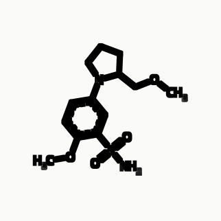 COCC1CCCN1c1ccc(OC)c(S(N)(=O)=O)c1